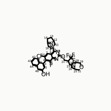 Oc1cc(-c2c(Cl)cc3c(N4CC5CCC(C4)N5)nc(OCC(CN4C5CCC4COC5)C(F)(F)F)nc3c2F)c2ccccc2c1